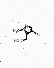 CC(=O)c1cnn(C)c1CC(=O)O